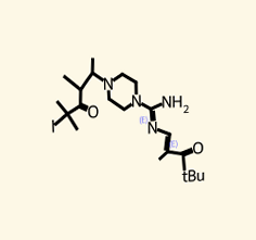 C/C(=C\N=C(/N)N1CCN(C(C)C(C)C(=O)C(C)(C)I)CC1)C(=O)C(C)(C)C